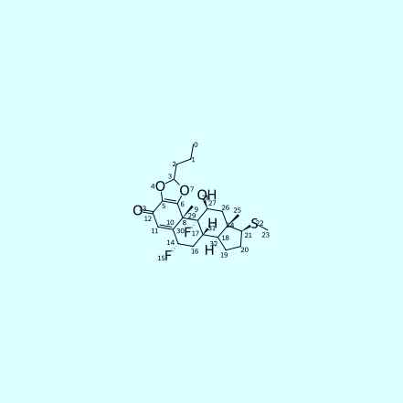 CCCC1OC2=C(O1)[C@@]1(C)C(=CC2=O)[C@@H](F)C[C@H]2[C@@H]3CC[C@H](SC)[C@@]3(C)C[C@H](O)[C@@]21F